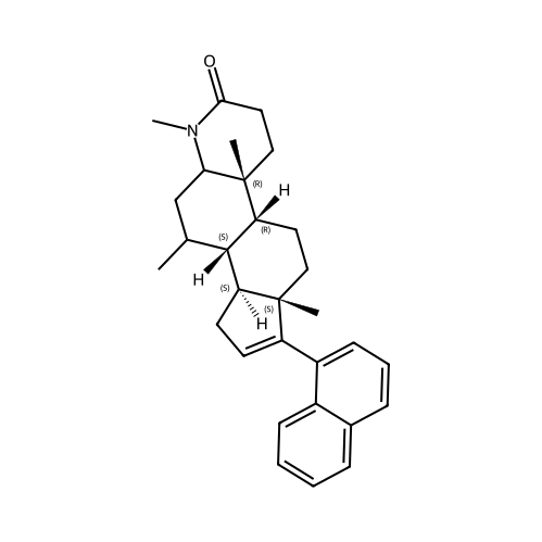 CC1CC2N(C)C(=O)CC[C@]2(C)[C@@H]2CC[C@]3(C)C(c4cccc5ccccc45)=CC[C@H]3[C@H]12